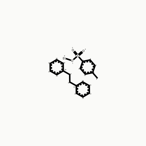 CCOS(=O)(=O)c1ccc(C)cc1.c1ccc(CCc2ccccc2)cc1